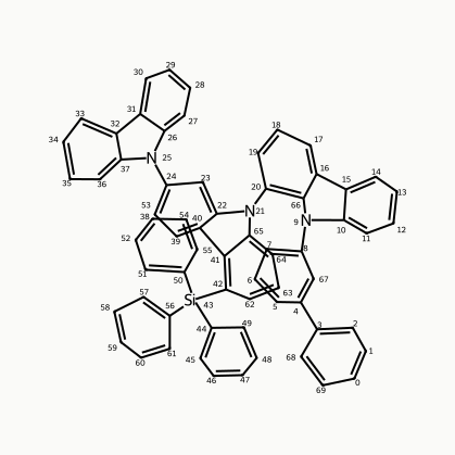 c1ccc(-c2cccc(-n3c4ccccc4c4cccc(-n5c6cc(-n7c8ccccc8c8ccccc87)ccc6c6c([Si](c7ccccc7)(c7ccccc7)c7ccccc7)cccc65)c43)c2)cc1